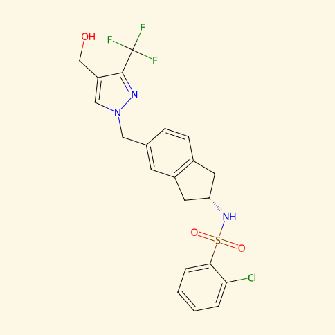 O=S(=O)(N[C@H]1Cc2ccc(Cn3cc(CO)c(C(F)(F)F)n3)cc2C1)c1ccccc1Cl